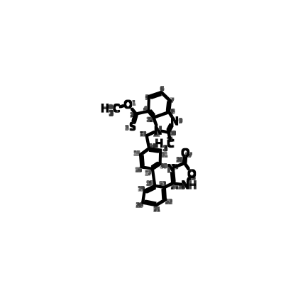 COC(=S)c1cccc2nc(C)n(Cc3ccc(-c4ccccc4-c4nc(=O)o[nH]4)cc3)c12